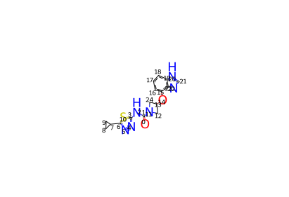 O=C(Nc1nnc(C2CC2)s1)N1CC(Oc2cccc3[nH]cnc23)C1